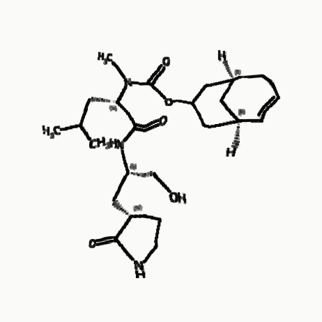 CC(C)C[C@@H](C(=O)N[C@H](CO)C[C@@H]1CCNC1=O)N(C)C(=O)OC1C[C@@H]2C=CC[C@H](C1)C2